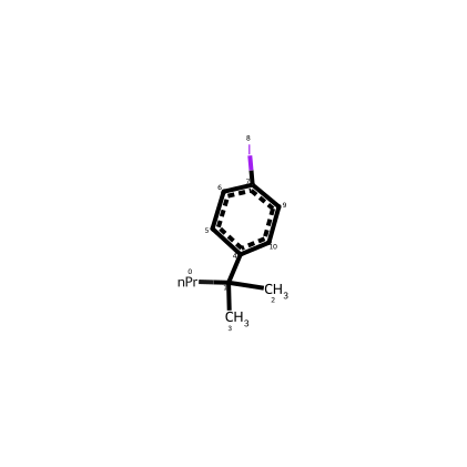 CCCC(C)(C)c1ccc(I)cc1